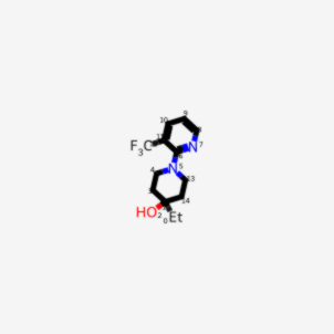 CCC1(O)CCN(c2ncccc2C(F)(F)F)CC1